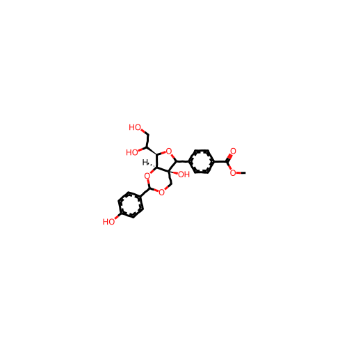 COC(=O)c1ccc(C2O[C@H](C(O)CO)[C@@H]3OC(c4ccc(O)cc4)OC[C@@]23O)cc1